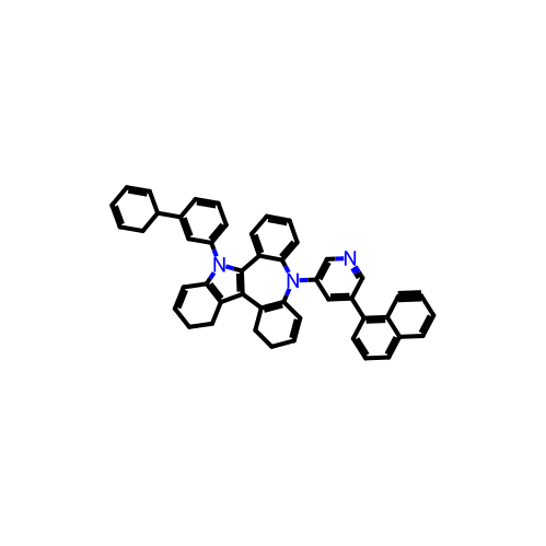 c1ccc2cccc(-c3cncc(N4C5=C(CCC=C5)c5c6c(n(-c7cccc(C8C=CC=CC8)c7)c5-c5ccccc54)C=CCC6)c3)c2c#1